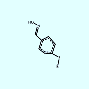 ON=Cc1ccc(SBr)cc1